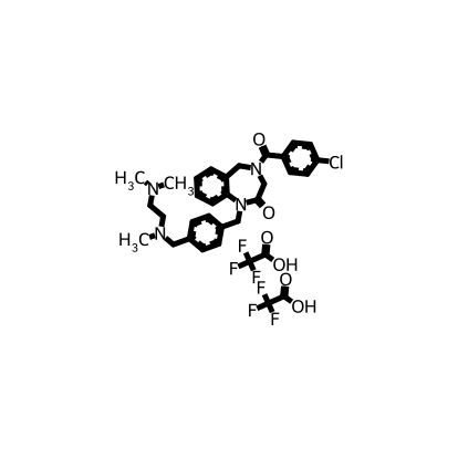 CN(C)CCN(C)Cc1ccc(CN2C(=O)CN(C(=O)c3ccc(Cl)cc3)Cc3ccccc32)cc1.O=C(O)C(F)(F)F.O=C(O)C(F)(F)F